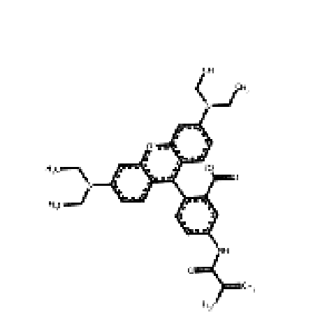 C=C(C)C(=O)Nc1ccc(-c2c3ccc(N(CC)CC)cc3[o+]c3cc(N(CC)CC)ccc23)c(C(=O)O)c1